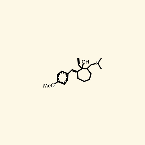 C=CC1(O)C(=Cc2ccc(OC)cc2)CCCCC1CN(C)C